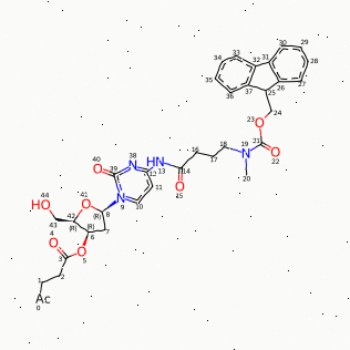 CC(=O)CCC(=O)O[C@@H]1C[C@H](n2ccc(NC(=O)CCCN(C)C(=O)OCC3c4ccccc4-c4ccccc43)nc2=O)O[C@@H]1CO